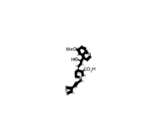 COc1ccc2nccc([C@H](O)CC[C@@H]3CCN(CC#Cc4ccsc4)C[C@@H]3C(=O)O)c2c1